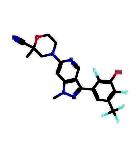 Cn1nc(-c2cc(C(F)(F)F)c(F)c(O)c2F)c2cnc(N3CCOC(C)(C#N)C3)cc21